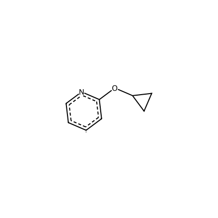 [c]1ccnc(OC2CC2)c1